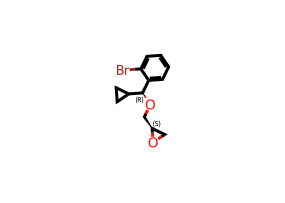 Brc1ccccc1[C@H](OC[C@H]1CO1)C1CC1